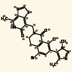 Cc1nnn(C)c1-c1cc(Br)c2c(c1Cl)C(=O)N(Cc1c(=O)[nH]c(C)c3ncsc13)CC2